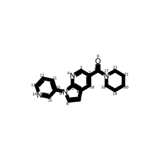 O=C(c1cnc2c(ccn2-c2cccnc2)c1)N1CCCCC1